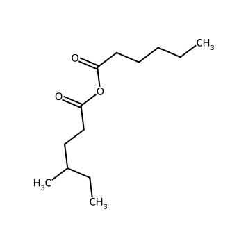 CCCCCC(=O)OC(=O)CCC(C)CC